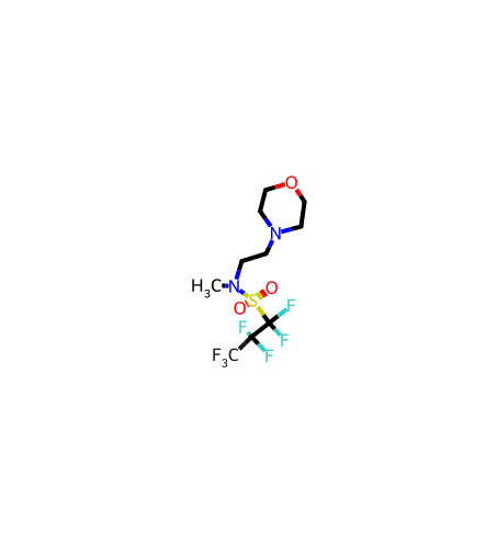 CN(CCN1CCOCC1)S(=O)(=O)C(F)(F)C(F)(F)C(F)(F)F